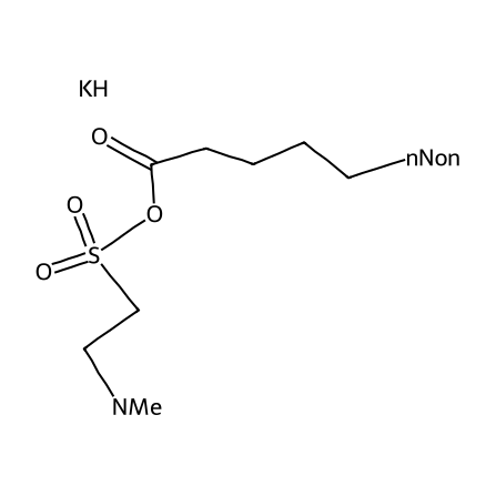 CCCCCCCCCCCCCC(=O)OS(=O)(=O)CCNC.[KH]